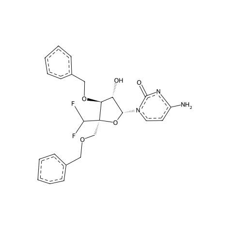 Nc1ccn([C@@H]2O[C@@](COCc3ccccc3)(C(F)F)[C@@H](OCc3ccccc3)[C@@H]2O)c(=O)n1